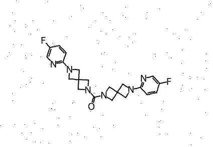 O=C(N1CC2(C1)CN(c1ccc(F)cn1)C2)N1CC2(C1)CN(c1ccc(F)cn1)C2